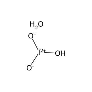 O.[O-][I+2]([O-])O